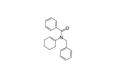 O=C(c1ccccc1)N(Cc1ccccc1)C1=CCCCC1